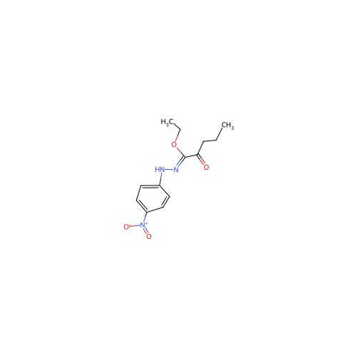 CCCC(=O)C(=NNc1ccc([N+](=O)[O-])cc1)OCC